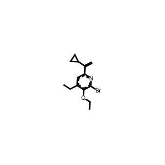 C=C(c1cc(CC)c(OCC)c(Br)n1)C1CC1